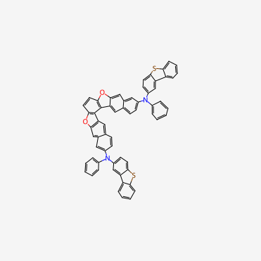 c1ccc(N(c2ccc3cc4c(cc3c2)oc2ccc3oc5cc6cc(N(c7ccccc7)c7ccc8sc9ccccc9c8c7)ccc6cc5c3c24)c2ccc3sc4ccccc4c3c2)cc1